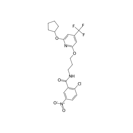 O=C(NCCCOc1cc(C(F)(F)F)cc(OC2CCCC2)n1)c1cc([N+](=O)[O-])ccc1Cl